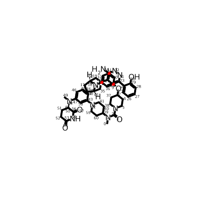 CN(C(=O)N1CCC(Oc2cccc(N3[C@@H]4CC[C@H]3CN(c3cc(-c5ccccc5O)nnc3N)C4)c2)CC1)C1CCN(c2cccc(N(C)[C@@H]3CCC(=O)NC3=O)c2)CC1